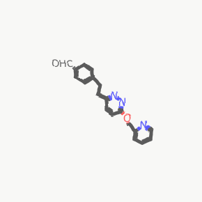 O=Cc1ccc(CCc2ccc(OCc3ccccn3)nn2)cc1